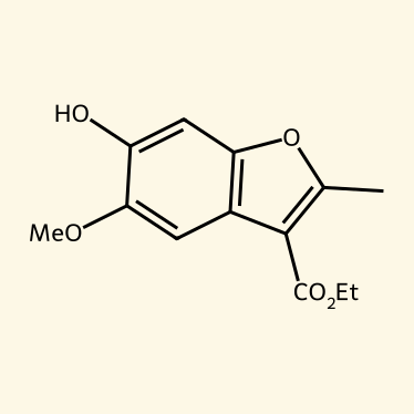 CCOC(=O)c1c(C)oc2cc(O)c(OC)cc12